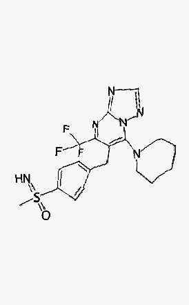 CS(=N)(=O)c1ccc(Cc2c(C(F)(F)F)nc3ncnn3c2N2CCCCC2)cc1